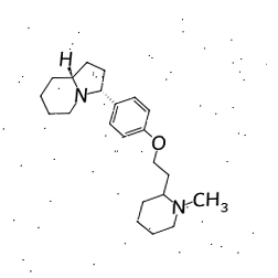 CN1CCCCC1CCOc1ccc([C@H]2CC[C@H]3CCCCN32)cc1